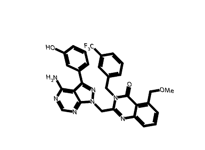 COCc1cccc2nc(Cn3nc(-c4cccc(O)c4)c4c(N)ncnc43)n(Cc3cccc(C(F)(F)F)c3)c(=O)c12